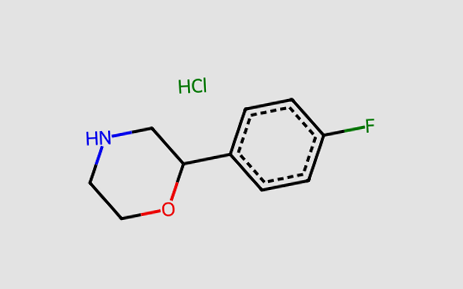 Cl.Fc1ccc(C2CNCCO2)cc1